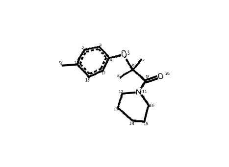 Cc1ccc(OC(C)(C)C(=O)N2CCCCC2)cc1